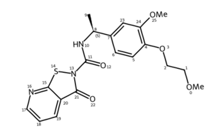 COCCOc1ccc([C@H](C)NC(=O)n2sc3ncccc3c2=O)cc1OC